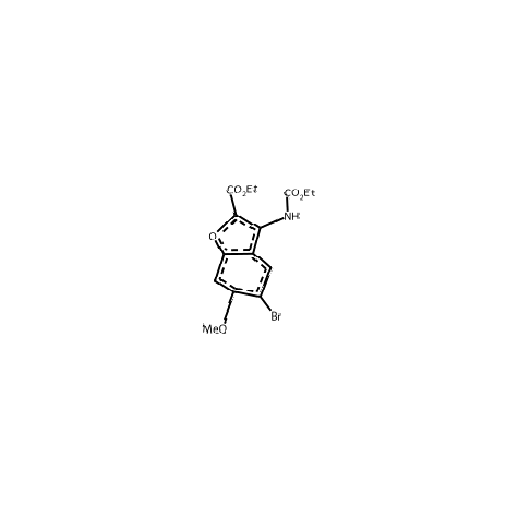 CCOC(=O)Nc1c(C(=O)OCC)oc2cc(OC)c(Br)cc12